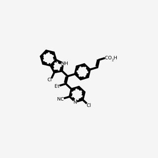 CC/C(=C(/c1ccc(/C=C/C(=O)O)cc1)c1[nH]c2ccccc2c1Cl)c1ccc(Cl)nc1C#N